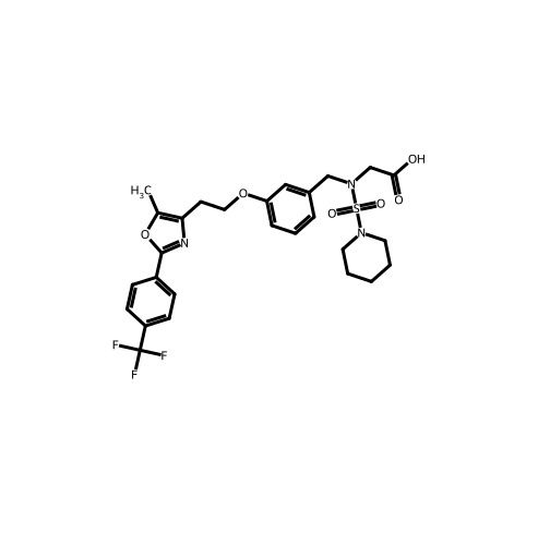 Cc1oc(-c2ccc(C(F)(F)F)cc2)nc1CCOc1cccc(CN(CC(=O)O)S(=O)(=O)N2CCCCC2)c1